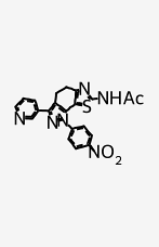 CC(=O)Nc1nc2c(s1)-c1c(c(-c3cccnc3)nn1-c1ccc([N+](=O)[O-])cc1)CC2